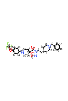 COC1(C(=O)NCCC2CCN(Cc3ccccc3)CC2)CCN(c2ccc(OC(F)(F)F)cc2)CC1